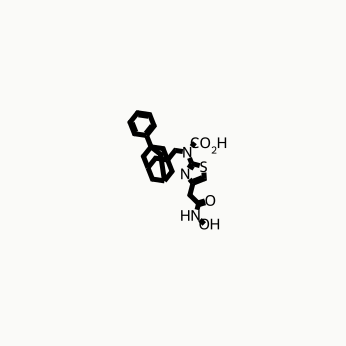 O=C(Cc1csc(N(CC23CC4CC(C2)CC(c2ccccc2)(C4)C3)C(=O)O)n1)NO